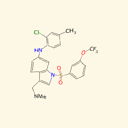 CNCc1cn(S(=O)(=O)c2cccc(OC(F)(F)F)c2)c2cc(Nc3ccc(C)cc3Cl)ccc12